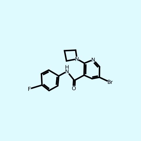 O=C(Nc1ccc(F)cc1)c1cc(Br)cnc1N1CCC1